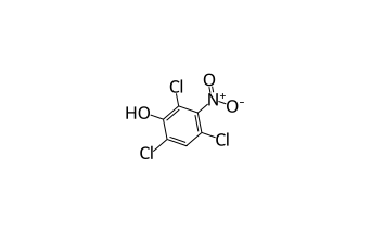 O=[N+]([O-])c1c(Cl)cc(Cl)c(O)c1Cl